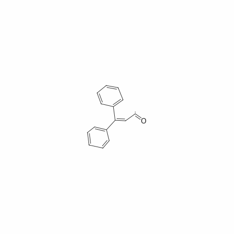 O=[C]C=C(c1ccccc1)c1ccccc1